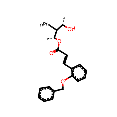 CCCC([C@H](C)O)[C@@H](C)OC(=O)C=Cc1ccccc1OCc1ccccc1